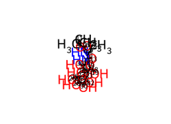 CCCC(NC(=O)OC(C)(C)C)C(=O)NC1OC(CO)C(OC2OC(CO)C(O)C(O)C2O)C(O)C1O